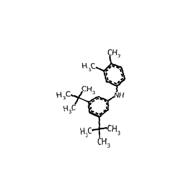 Cc1ccc(Nc2cc(C(C)(C)C)cc(C(C)(C)C)c2)cc1C